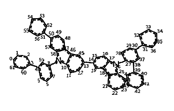 c1ccc(-c2cccc(-n3c4ccc(-c5ccc6c(c5)c5ccccc5n6-c5ccc(-c6ccccc6)cc5-c5ccccc5)cc4c4ccc(-c5ccccc5)cc43)c2)cc1